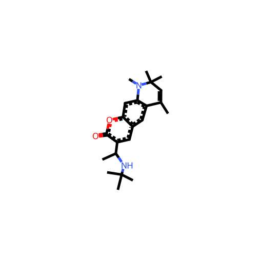 CC1=CC(C)(C)N(C)c2cc3oc(=O)c(C(C)NC(C)(C)C)cc3cc21